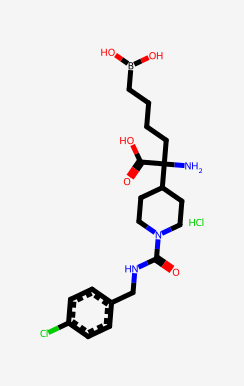 Cl.NC(CCCCB(O)O)(C(=O)O)C1CCN(C(=O)NCc2ccc(Cl)cc2)CC1